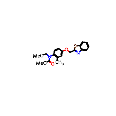 COCN(C(=O)OC)c1ccc(OCc2nc3ccccc3s2)cc1C